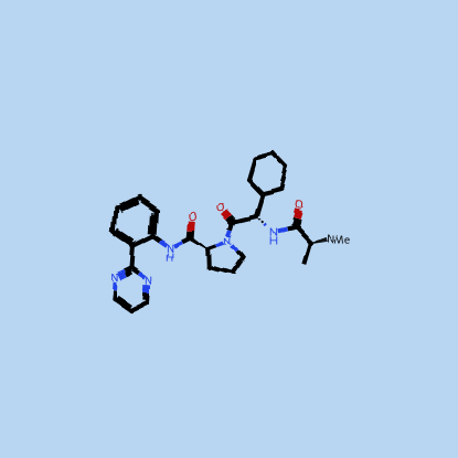 CN[C@@H](C)C(=O)N[C@H](C(=O)N1CCC[C@H]1C(=O)Nc1ccccc1-c1ncccn1)C1CCCCC1